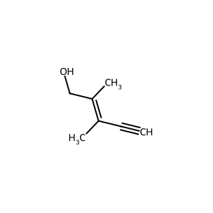 C#CC(C)=C(C)CO